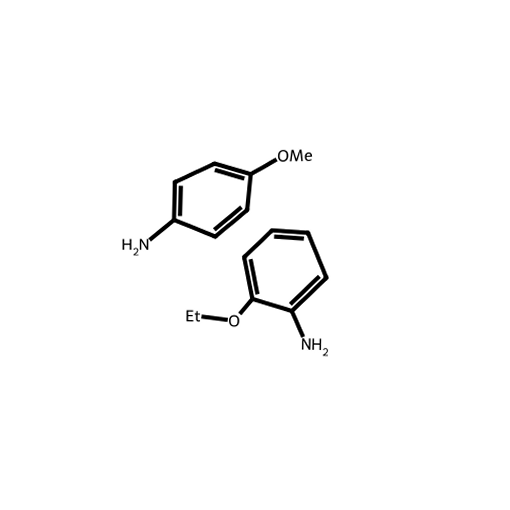 CCOc1ccccc1N.COc1ccc(N)cc1